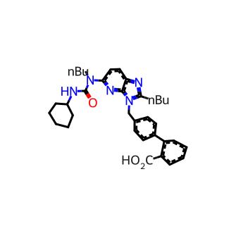 CCCCc1nc2ccc(N(CCCC)C(=O)NC3CCCCC3)nc2n1Cc1ccc(-c2ccccc2C(=O)O)cc1